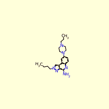 CCCCn1cc2c(n1)c(N)nc1ccc(N3CCN(CCC)CC3)cc12